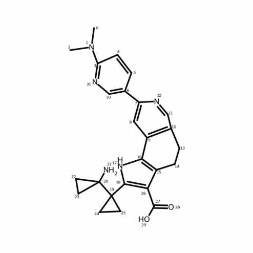 CN(C)c1ccc(-c2cc3c(cn2)CCc2c-3[nH]c(C3(C4(N)CC4)CC3)c2C(=O)O)cn1